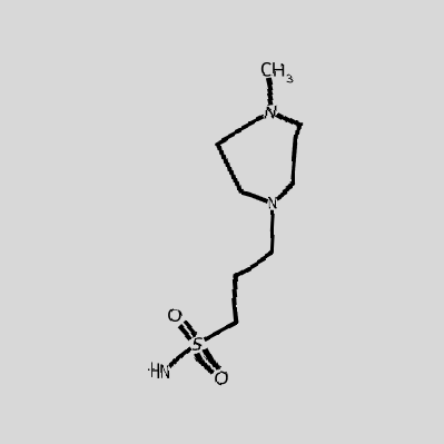 CN1CCN(CCCS([NH])(=O)=O)CC1